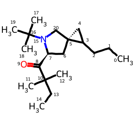 CCCC1C[C@@]12C[C@@H](C(=O)C(C)(C)CC)N(C(C)(C)C)C2